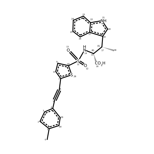 Cc1ccc(C#Cc2ccc(S(=O)(=O)N[C@@H](C(=O)O)[C@@H](C)c3c[nH]c4ccccc34)s2)cc1